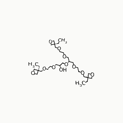 CCC1(COCCOCC(O)COC(COCCOCC2(CC)COC2)COCCOCC2(CC)COC2)COC1